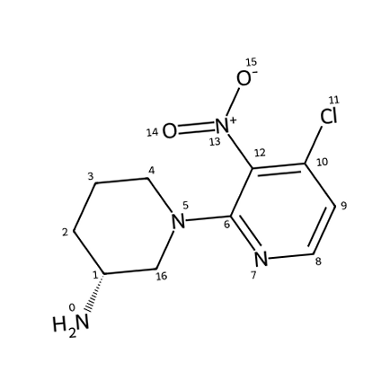 N[C@@H]1CCCN(c2nccc(Cl)c2[N+](=O)[O-])C1